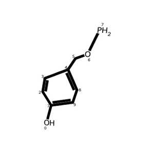 Oc1ccc(COP)cc1